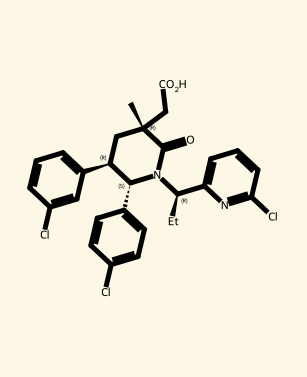 CC[C@H](c1cccc(Cl)n1)N1C(=O)[C@@](C)(CC(=O)O)C[C@H](c2cccc(Cl)c2)[C@H]1c1ccc(Cl)cc1